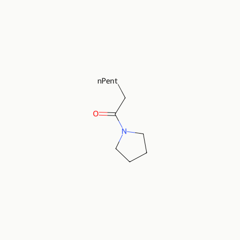 CCCCCCC(=O)N1CCCC1